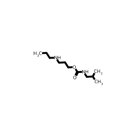 CCCNCCCOC(=O)NCC(C)C